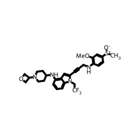 COc1cc([S+](C)[O-])ccc1NCC#Cc1cc2c(NC3CCN(C4COC4)CC3)cccc2n1CC(F)(F)F